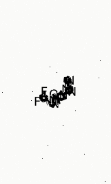 O=C1N2[C@H](c3cc(F)cc(F)c3)CCN2CC12CCN(c1cncc(-n3cccn3)n1)CC2